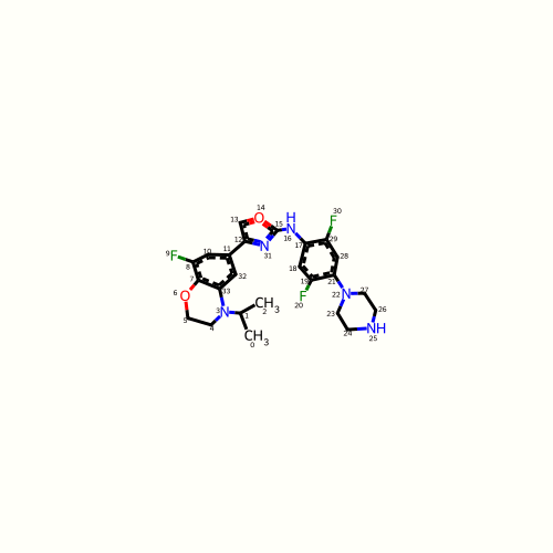 CC(C)N1CCOc2c(F)cc(-c3coc(Nc4cc(F)c(N5CCNCC5)cc4F)n3)cc21